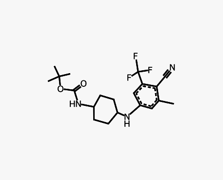 Cc1cc(NC2CCC(NC(=O)OC(C)(C)C)CC2)cc(C(F)(F)F)c1C#N